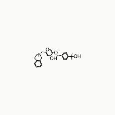 CC(C)(O)c1ccc(COC2=COC(CN3CCc4ccccc4C3)=CC2O)cc1